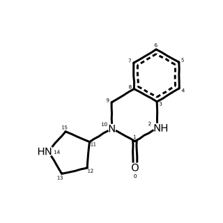 O=C1Nc2ccccc2CN1C1CCNC1